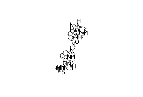 CNCC(=O)N[C@H]1CCS[C@H]2CC(C)(C)[C@@H](C(=O)N[C@@H]3c4ccccc4CC[C@H]3C(=O)N3CCN(C(=O)[C@@H]4CCc5ccccc5[C@H]4NC(=O)[C@H]4N5C(=O)[C@@H](NC(=S)[C@H](C)NC)CCS[C@H]5CC4(C)C)CC3)N2C1=O